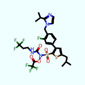 CC(C)Cc1cc(-c2ccc(Cn3ccnc3C(C)C)c(F)c2)c(S(=O)(=O)N(OC(=O)C(F)(F)F)C(=O)NCCC(F)(F)F)s1